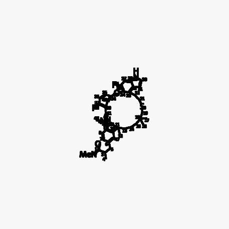 CNC(=O)C(C)Cc1cccc(C2(C)CCCC(C)(C)CSCCc3c(c(F)cc4[nH]ccc34)Oc3ccc(F)c(c3)-c3nc2nn3C)c1